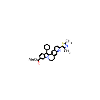 COC(=O)c1ccc2c(C3CCCCC3)c3n(c2c1)CCCc1cc2nc(-c4sc(C)nc4C)ccc2cc1-3